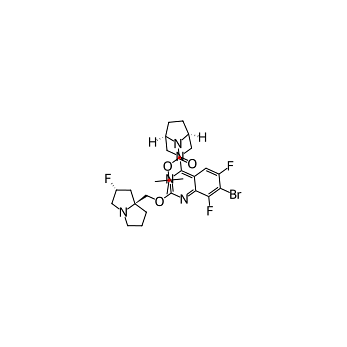 CC(C)(C)OC(=O)N1[C@@H]2CC[C@H]1CN(c1nc(OC[C@@]34CCCN3C[C@H](F)C4)nc3c(F)c(Br)c(F)cc13)C2